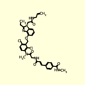 C=CCNC(=O)Cn1c(CC)nc2c(OCc3c(Cl)ccc(N(C)C(=O)CNC(=O)C=Cc4ccc(C(=O)NC)cc4)c3Cl)cccc21